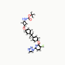 CC(C)(C)OC(=O)NC1CC(Oc2ccc(C(C)(C)c3ccc(Oc4nc(-n5ccnn5)ccc4F)cc3)cc2)C1